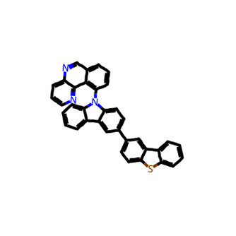 c1cc(-n2c3ccccc3c3cc(-c4ccc5sc6ccccc6c5c4)ccc32)c2c(c1)cnc1cccnc12